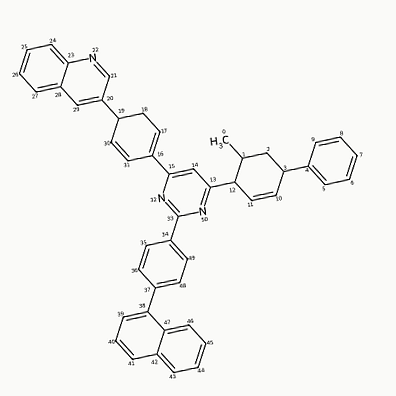 CC1CC(c2ccccc2)C=CC1c1cc(C2=CCC(c3cnc4ccccc4c3)C=C2)nc(-c2ccc(-c3cccc4ccccc34)cc2)n1